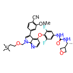 COc1cc(-c2cn(COCC[Si](C)(C)C)c3nccc(Oc4c(F)cc(NC(=O)N[C@H](C)C5COC5)cc4F)c23)ccc1C#N